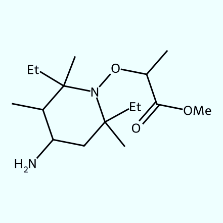 CCC1(C)CC(N)C(C)C(C)(CC)N1OC(C)C(=O)OC